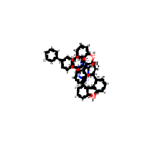 CC(/N=C(\N=C(/N)c1ccc(-c2ccccc2)cc1)c1cccc2oc3cccc(C4=c5ccccc5=C5c6ccccc6OC5C4)c3c12)c1ccccc1